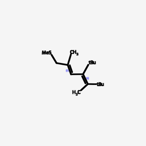 CSC/C(C)=C/C(=C(\C)C(C)(C)C)C(C)(C)C